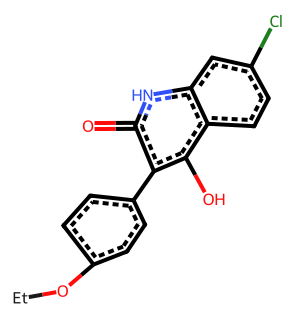 CCOc1ccc(-c2c(O)c3ccc(Cl)cc3[nH]c2=O)cc1